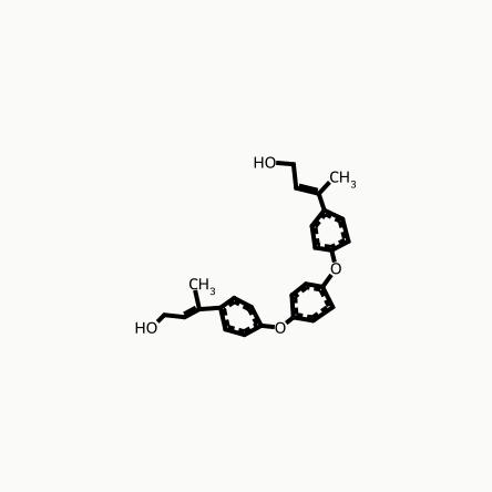 CC(=CCO)c1ccc(Oc2ccc(Oc3ccc(C(C)=CCO)cc3)cc2)cc1